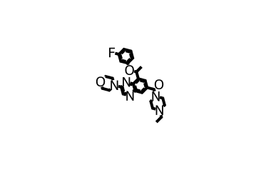 CCN1CCN(C(=O)c2cc(C(C)Oc3cccc(F)c3)c3nc(N4CCOCC4)cnc3c2)CC1